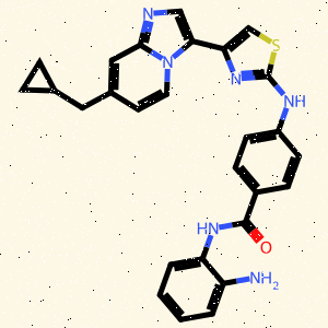 Nc1ccccc1NC(=O)c1ccc(Nc2nc(-c3cnc4cc(CC5CC5)ccn34)cs2)cc1